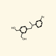 CC(=O)c1cccc(N(C)Cc2ccc(CO)c(CO)c2)c1